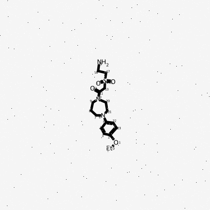 CCOc1ccc(N2CCCN(C(=O)CS(=O)(=O)CCN)CC2)cc1